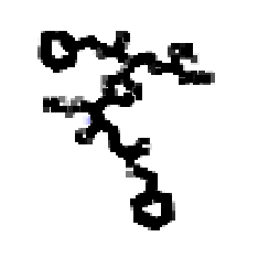 COC(C)OCN(C(=O)OCc1ccccc1)n1ncc(/C(C(=O)O)=C(/Cl)CCC(=O)OCc2ccccc2)n1